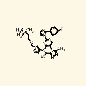 CCC1c2nnc(C)n2-c2cnc(-n3ccnc3-c3ccc(F)cc3)nc2N1c1cnn(COCC[Si](C)(C)C)c1